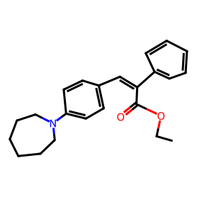 CCOC(=O)C(=Cc1ccc(N2CCCCCC2)cc1)c1ccccc1